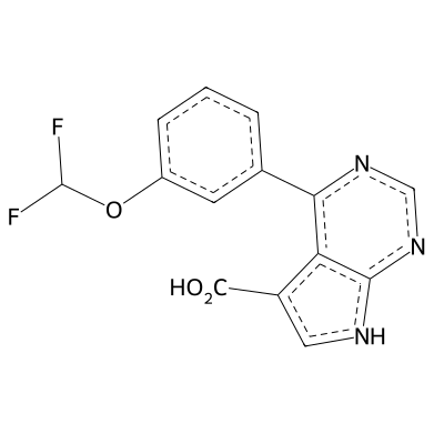 O=C(O)c1c[nH]c2ncnc(-c3cccc(OC(F)F)c3)c12